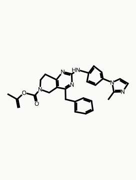 C=C(C)OC(=O)N1CCc2nc(Nc3ccc(-n4ccnc4C)cc3)nc(Cc3ccccc3)c2C1